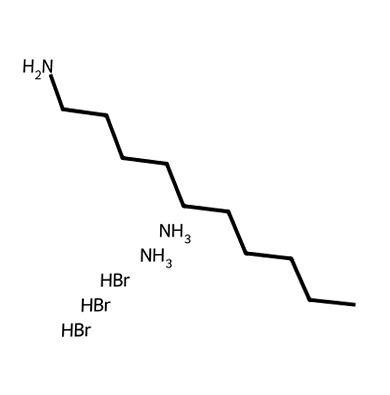 Br.Br.Br.CCCCCCCCCCN.N.N